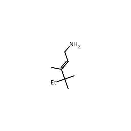 CCC(C)(C)/C(C)=C/CN